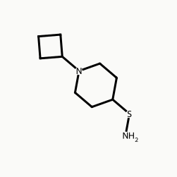 NSC1CCN(C2CCC2)CC1